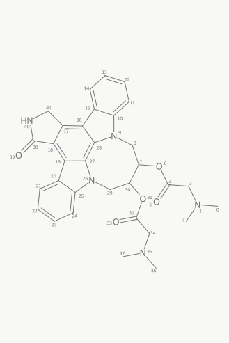 CN(C)CC(=O)OC1Cn2c3ccccc3c3c4c(c5c6ccccc6n(c5c32)CC1OC(=O)CN(C)C)C(=O)NC4